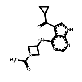 CC(=O)N1CC(Nc2ncnc3[nH]cc(C(=O)C4CC4)c23)C1